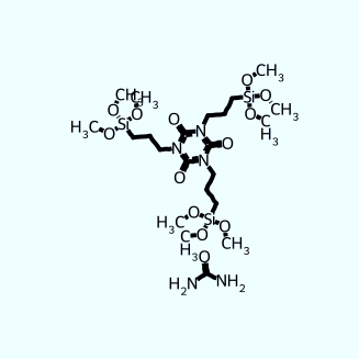 CO[Si](CCCn1c(=O)n(CCC[Si](OC)(OC)OC)c(=O)n(CCC[Si](OC)(OC)OC)c1=O)(OC)OC.NC(N)=O